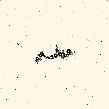 C=C(F)C(=O)Nc1cc(Nc2ncc(Cl)c(Nc3ccccc3P(C)(C)=O)n2)c(OC)cc1N1CCC(N2CCN(CCCC#Cc3cccc4c3CN(C3CCC(=O)NC3=O)C4=O)CC2)CC1